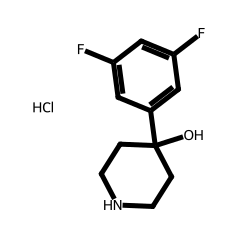 Cl.OC1(c2cc(F)cc(F)c2)CCNCC1